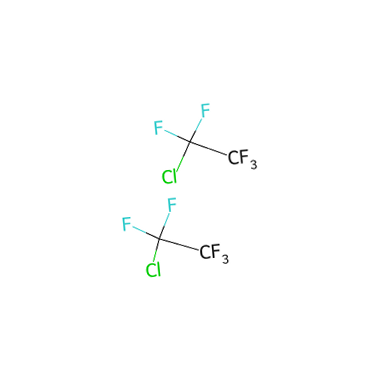 FC(F)(F)C(F)(F)Cl.FC(F)(F)C(F)(F)Cl